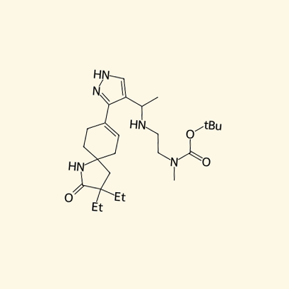 CCC1(CC)CC2(CC=C(c3n[nH]cc3C(C)NCCN(C)C(=O)OC(C)(C)C)CC2)NC1=O